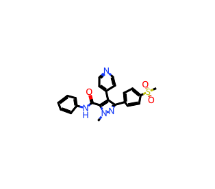 Cn1nc(-c2ccc(S(C)(=O)=O)cc2)c(-c2ccncc2)c1C(=O)Nc1ccccc1